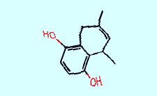 CC1=CC(C)c2c(O)ccc(O)c2C1